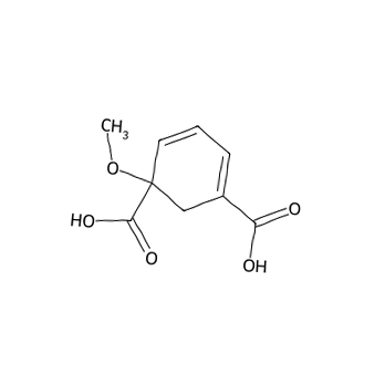 COC1(C(=O)O)C=CC=C(C(=O)O)C1